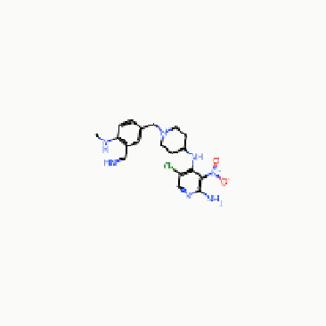 CNc1ccc(CN2CCC(Nc3c(Cl)cnc(N)c3[N+](=O)[O-])CC2)cc1C=N